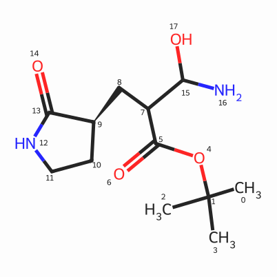 CC(C)(C)OC(=O)C(C[C@H]1CCNC1=O)C(N)O